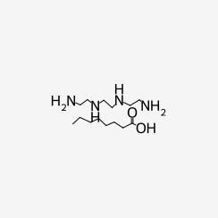 CCCCCCCC(=O)O.NCCNCCNCCN